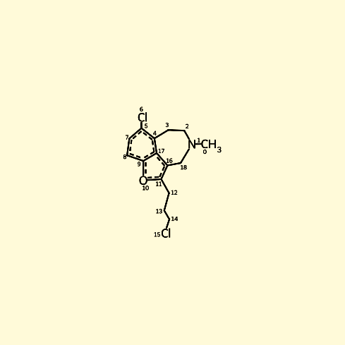 CN1CCc2c(Cl)ccc3oc(CCCCl)c(c23)C1